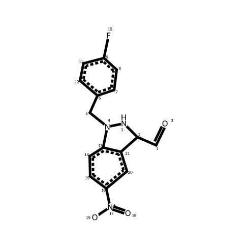 O=CC1NN(Cc2ccc(F)cc2)c2ccc([N+](=O)[O-])cc21